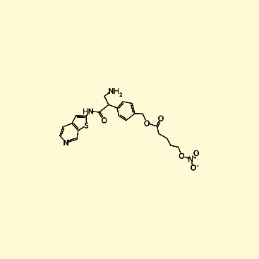 NCC(C(=O)Nc1cc2ccncc2s1)c1ccc(COC(=O)CCCCO[N+](=O)[O-])cc1